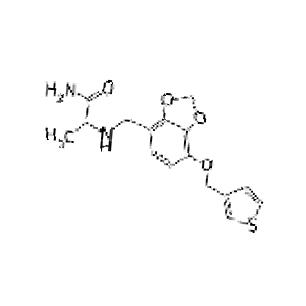 CC(NCc1ccc(OCc2ccsc2)c2c1OCO2)C(N)=O